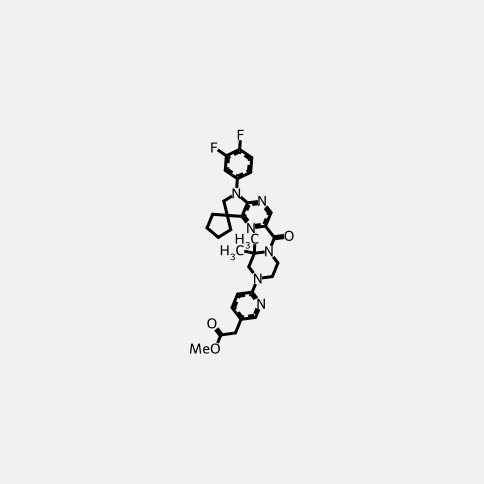 COC(=O)Cc1ccc(N2CCN(C(=O)c3cnc4c(n3)C3(CCCC3)CN4c3ccc(F)c(F)c3)C(C)(C)C2)nc1